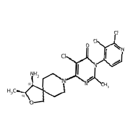 Cc1nc(N2CCC3(CC2)CO[C@@H](C)[C@H]3N)c(Cl)c(=O)n1-c1ccnc(Cl)c1Cl